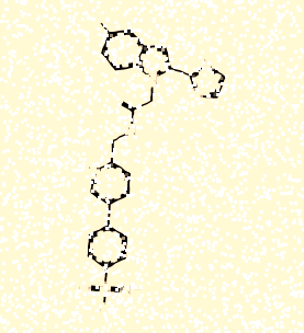 CS(=N)(=O)c1ccc(-c2ccc(CNC(=O)Cn3c(-c4ncco4)cc4cc(F)ccc43)nc2)cc1